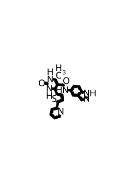 CC1=C(C(=O)Nc2ccc3[nH]ncc3c2)C(c2ccc(-c3ccccn3)s2)NC(=O)N1